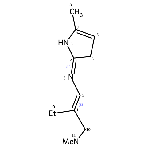 CC/C(=C\N=C1/CC=C(C)N1)CNC